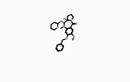 COc1cc2c(cc1OCc1ccccc1)N(C)[C@@H](OC1CCCCO1)[C@@H]1CCCN1C2=O